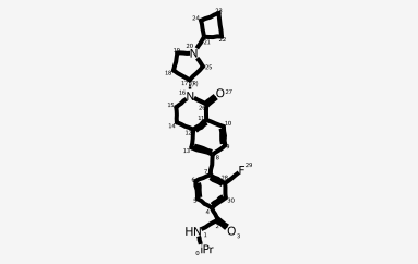 CC(C)NC(=O)c1ccc(-c2ccc3c(c2)CCN([C@@H]2CCN(C4CCC4)C2)C3=O)c(F)c1